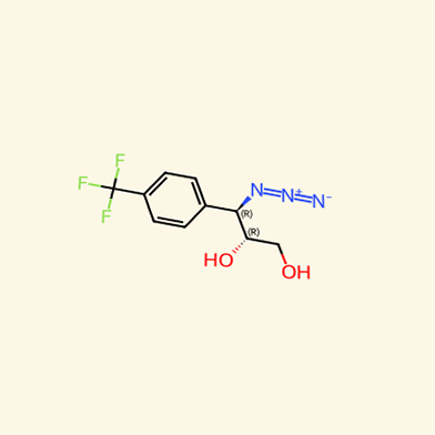 [N-]=[N+]=N[C@H](c1ccc(C(F)(F)F)cc1)[C@@H](O)CO